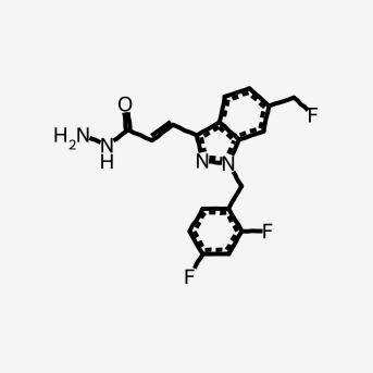 NNC(=O)C=Cc1nn(Cc2ccc(F)cc2F)c2cc(CF)ccc12